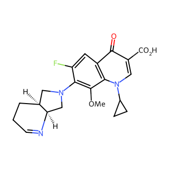 COc1c(N2C[C@@H]3CCC=N[C@@H]3C2)c(F)cc2c(=O)c(C(=O)O)cn(C3CC3)c12